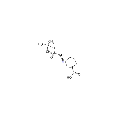 CC(C)(C)OC(=O)N/N=C1\CCCN(C(=O)O)C1